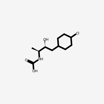 C[C@H](NC(=O)O)[C@H](O)CC1CCC(Cl)CC1